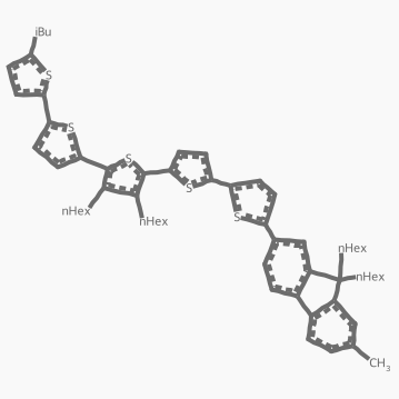 CCCCCCc1c(-c2ccc(-c3ccc(-c4ccc5c(c4)C(CCCCCC)(CCCCCC)c4cc(C)ccc4-5)s3)s2)sc(-c2ccc(-c3ccc(C(C)CC)s3)s2)c1CCCCCC